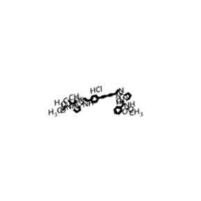 COC(=O)N[C@H](C(=O)N1CCC[C@H]1c1ncc(-c2ccc(C#CC#Cc3cnc([C@@H]4CCCN4C(=O)[C@H](NC(=O)OC)c4ccccc4)[nH]3)cc2)[nH]1)C(C)C.Cl